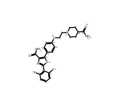 NC(=O)c1nc(-c2c(F)cccc2F)oc1-c1ccc(OCCN2CCC(C(N)=O)CC2)cc1